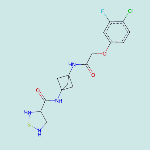 O=C(COc1ccc(Cl)c(F)c1)NC12CC(NC(=O)C3CNSN3)(C1)C2